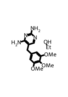 CCO.COc1cc(Cc2cnc(N)nc2N)cc(OC)c1OC